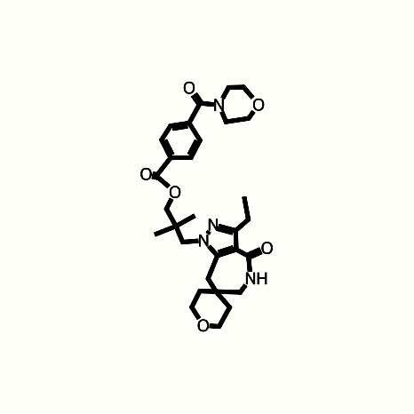 CCc1nn(CC(C)(C)COC(=O)c2ccc(C(=O)N3CCOCC3)cc2)c2c1C(=O)NCC1(CCOCC1)C2